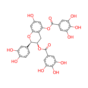 O=C(Oc1cc(O)cc2c1C[C@@H](OC(=O)c1cc(O)c(O)c(O)c1)[C@@H](c1ccc(O)c(O)c1)O2)c1cc(O)c(O)c(O)c1